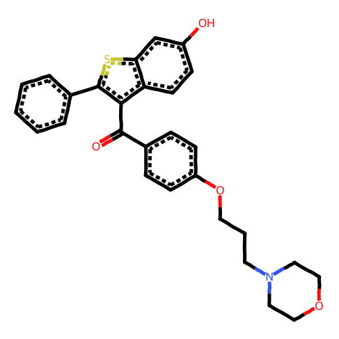 O=C(c1ccc(OCCCN2CCOCC2)cc1)c1c(-c2ccccc2)sc2cc(O)ccc12